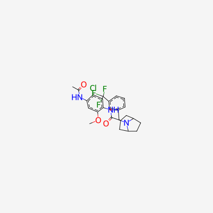 COc1cc(NC(C)=O)c(Cl)cc1NC(=O)C1CC2CCC(C1)N2Cc1cccc(C(F)(F)F)c1